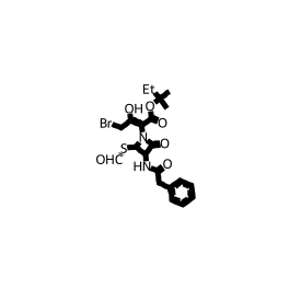 CCC(C)(C)OC(=O)/C(=C(\O)CBr)N1C(=O)C(NC(=O)Cc2ccccc2)C1SC=O